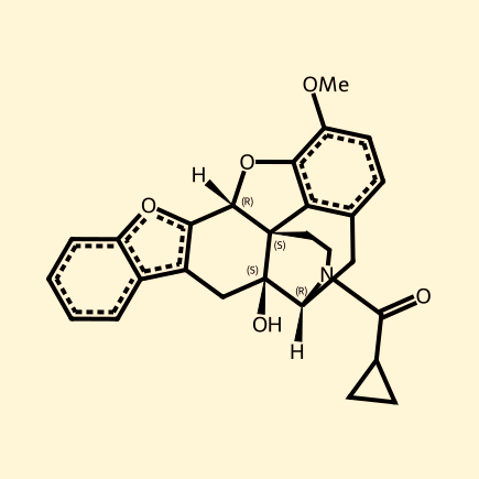 COc1ccc2c3c1O[C@H]1c4oc5ccccc5c4C[C@@]4(O)[C@@H](C2)N(C(=O)C2CC2)CC[C@]314